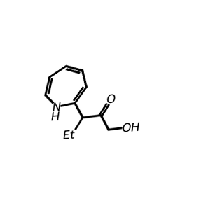 CCC(C(=O)CO)C1=CC=CC=CN1